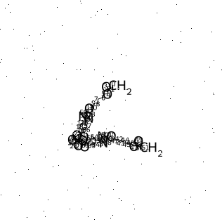 C=CC(=O)OCCCCCCOc1cnc(-c2ccc(C(=O)O[C@H]3OCCO[C@@H]3OC(=O)c3ccc(-c4ncc(OCCCCCCOC(=O)C=C)cn4)cc3)cc2)nc1